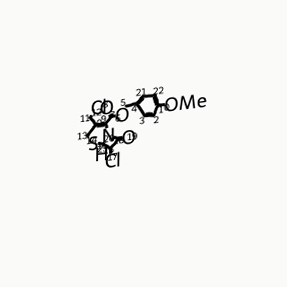 COc1ccc(COC(=O)C2=C(CCl)CS[C@@H]3C(Cl)C(=O)N23)cc1